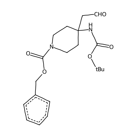 CC(C)(C)OC(=O)NC1(CC=O)CCN(C(=O)OCc2ccccc2)CC1